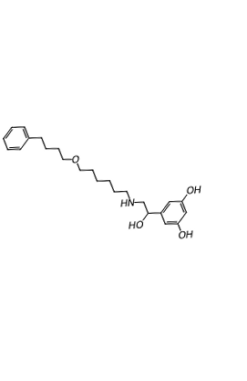 Oc1cc(O)cc(C(O)CNCCCCCCOCCCCc2ccccc2)c1